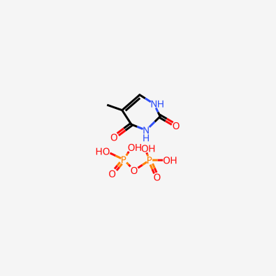 Cc1c[nH]c(=O)[nH]c1=O.O=P(O)(O)OP(=O)(O)O